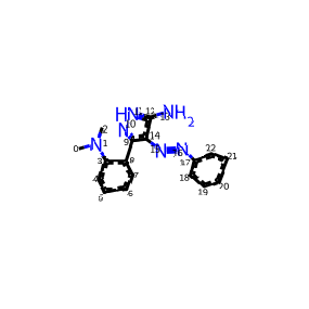 CN(C)c1ccccc1-c1n[nH]c(N)c1/N=N/c1ccccc1